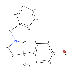 CC1(c2ccc(Br)cc2)CCN(Cc2ccccc2)C1